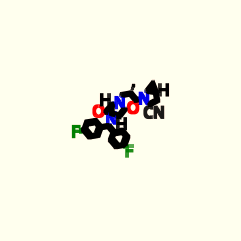 C[C@@H](CN1C[C@@H]2C[C@H]1C(=O)N2C(c1ccc(F)cc1)c1ccc(F)cc1)C(=O)N1C2C[C@H]2C[C@H]1C#N